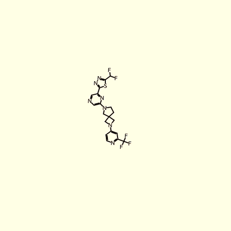 FC(F)c1nnc(-c2cncc(N3CCC4(CN(c5ccnc(C(F)(F)F)c5)C4)C3)n2)s1